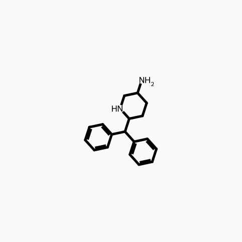 NC1CCC(C(c2ccccc2)c2ccccc2)NC1